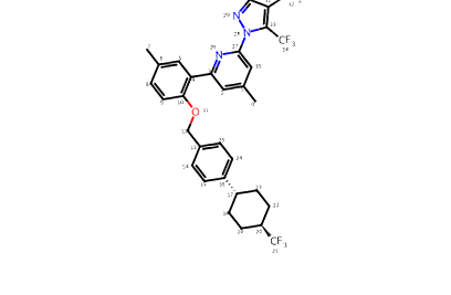 Cc1cc(-c2cc(C)ccc2OCc2ccc([C@H]3CC[C@H](C(F)(F)F)CC3)cc2)nc(-n2ncc(C(=O)O)c2C(F)(F)F)c1